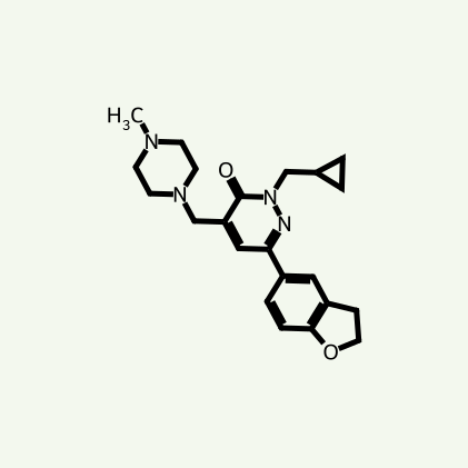 CN1CCN(Cc2cc(-c3ccc4c(c3)CCO4)nn(CC3CC3)c2=O)CC1